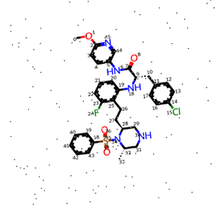 COc1ccc(NC(=O)[C@H](Cc2ccc(Cl)cc2)Nc2cccc(F)c2CC[C@H]2CNC[C@H](C)N2S(=O)(=O)c2ccccc2)cn1